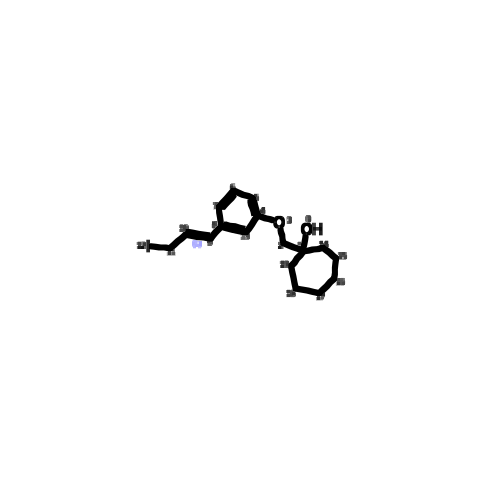 OC1(COc2cccc(/C=C/CI)c2)CCCCCC1